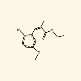 CCOC(=O)/C(C)=C\c1cc(OC)ccc1Br